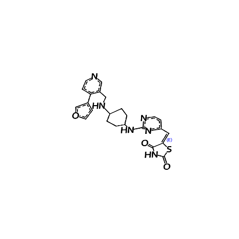 O=C1NC(=O)/C(=C\c2ccnc(NC3CCC(NCc4cnccc4-c4ccoc4)CC3)n2)S1